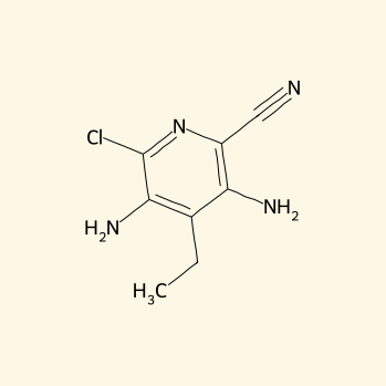 CCc1c(N)c(Cl)nc(C#N)c1N